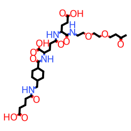 CC(=O)CCOCCOCCNC(=O)C(CCC(=O)O)NC(=O)CCC(NC(=O)C1CCC(CNC(=O)CCCC(=O)O)CC1)C(=O)O